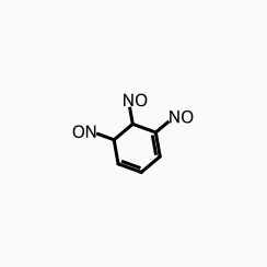 O=NC1=CC=CC(N=O)C1N=O